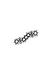 O=S(=O)(c1ccc2cc3cc(S(=O)(=O)C4CCCCC4)ccc3cc2c1)C1CCCCC1